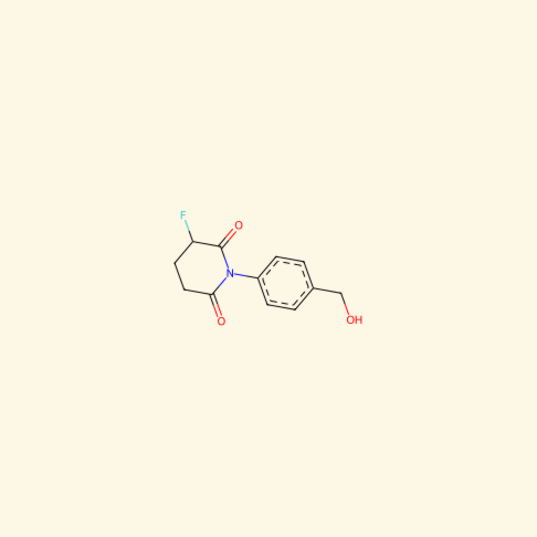 O=C1CCC(F)C(=O)N1c1ccc(CO)cc1